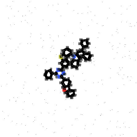 c1ccc(-c2nc(-c3ccc4c(c3)oc3ccccc34)nc(-c3ccc4c(c3)sc3cccc(-n5c6ccccc6c6c7ccccc7c(-c7ccccc7)cc65)c34)n2)cc1